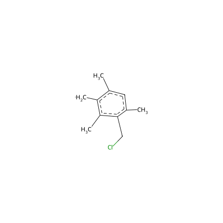 [CH2]c1c(C)cc(C)c(CCl)c1C